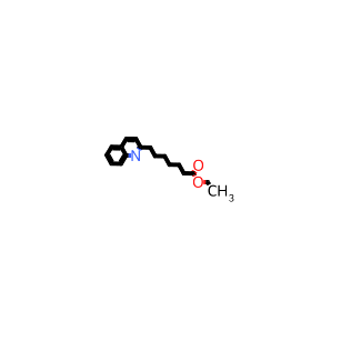 CCOC(=O)CCCCCCc1ccc2ccccc2n1